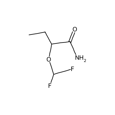 CCC(OC(F)F)C(N)=O